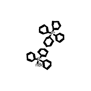 CCCC[B-](c1ccccc1)(c1ccccc1)c1ccccc1.c1ccc([P+](c2ccccc2)(c2ccccc2)c2ccccc2)cc1